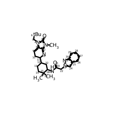 Cn1c2c(n(CC(C)(C)C)c1=O)=CCC(C1CCC(C)(C)C(NC(=O)Cn3cc4ccccc4n3)C1)N=2